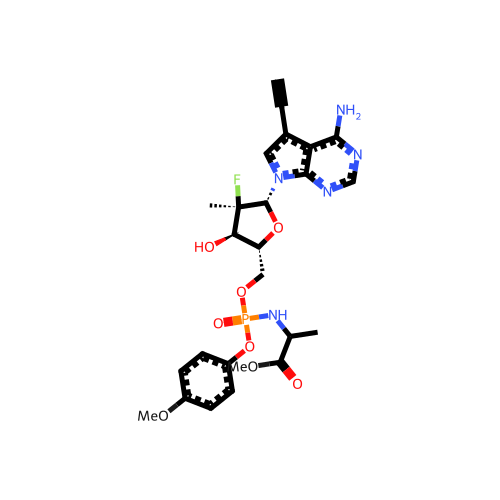 C#Cc1cn([C@@H]2O[C@H](COP(=O)(NC(C)C(=O)OC)Oc3ccc(OC)cc3)[C@@H](O)[C@@]2(C)F)c2ncnc(N)c12